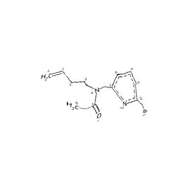 C=CCCN(C(C)=O)c1cccc(Br)n1